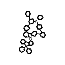 c1ccc(-c2cc(-c3ccccc3)cc(N(c3ccccc3)c3ccc(-c4ccccc4-c4ccc5c6ccccc6n(-c6cccc7c6-c6ccccc6C7(c6ccccc6)c6ccccc6)c5c4)cc3)c2)cc1